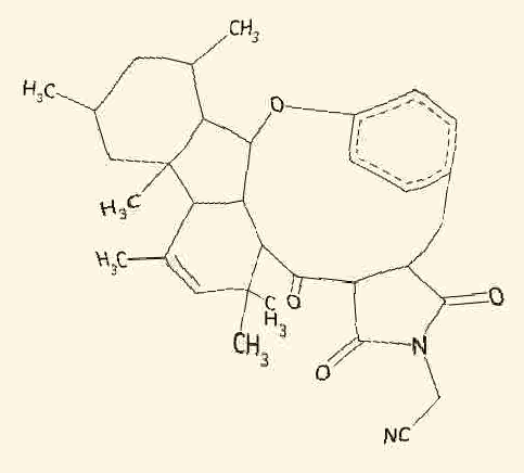 CC1=CC(C)(C)C2C(=O)C3C(=O)N(CC#N)C(=O)C3Cc3ccc(cc3)OC3C2C1C1(C)CC(C)CC(C)C31